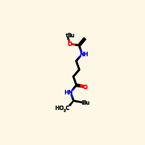 C=C(NCCCC(=O)N[C@H](C(=O)O)C(C)CC)OC(C)(C)C